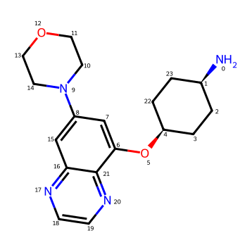 N[C@H]1CC[C@@H](Oc2cc(N3CCOCC3)cc3nccnc23)CC1